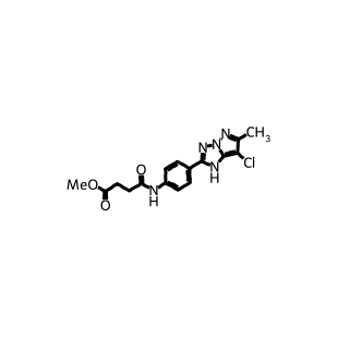 COC(=O)CCC(=O)Nc1ccc(-c2nn3nc(C)c(Cl)c3[nH]2)cc1